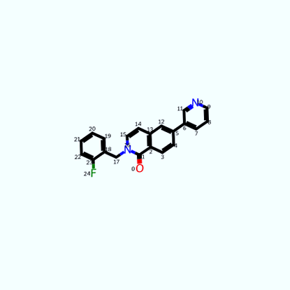 O=c1c2ccc(-c3cccnc3)cc2ccn1Cc1ccccc1F